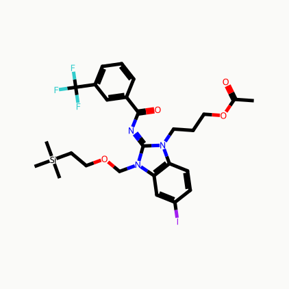 CC(=O)OCCCn1c(=NC(=O)c2cccc(C(F)(F)F)c2)n(COCC[Si](C)(C)C)c2cc(I)ccc21